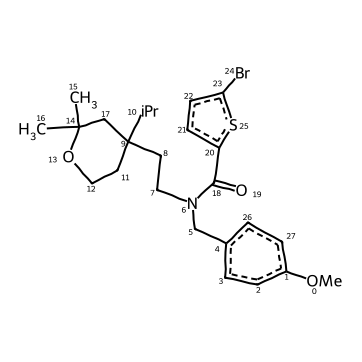 COc1ccc(CN(CCC2(C(C)C)CCOC(C)(C)C2)C(=O)c2ccc(Br)s2)cc1